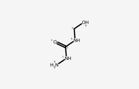 NNC(=O)NCO